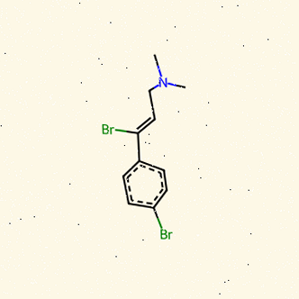 CN(C)CC=C(Br)c1ccc(Br)cc1